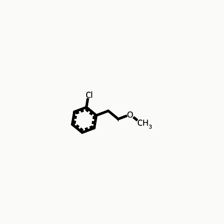 CO[CH]Cc1ccccc1Cl